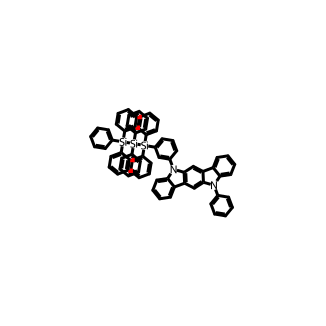 c1ccc(-n2c3ccccc3c3cc4c(cc32)c2ccccc2n4-c2cccc([Si](c3ccccc3)(c3ccccc3)[Si](c3ccccc3)(c3ccccc3)[Si](c3ccccc3)(c3ccccc3)c3ccccc3)c2)cc1